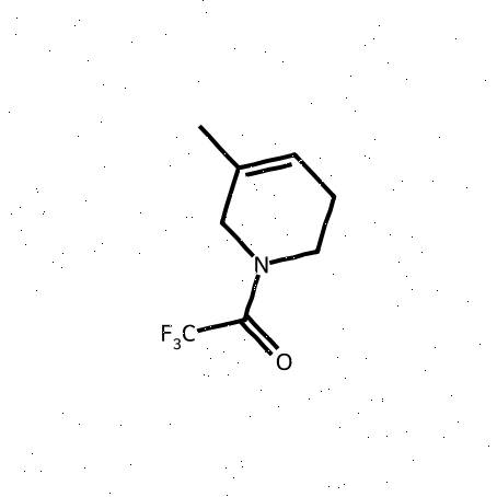 CC1=CCCN(C(=O)C(F)(F)F)C1